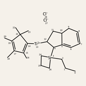 CCC[Si]1(C2C3=CC=CCC3C[CH]2[Ti+2][C]2=C(C)C(C)=C(C)C2(C)C)CCC1.[Cl-].[Cl-]